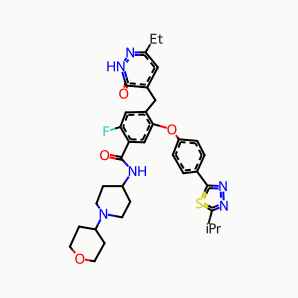 CCc1cc(Cc2cc(F)c(C(=O)NC3CCN(C4CCOCC4)CC3)cc2Oc2ccc(-c3nnc(C(C)C)s3)cc2)c(=O)[nH]n1